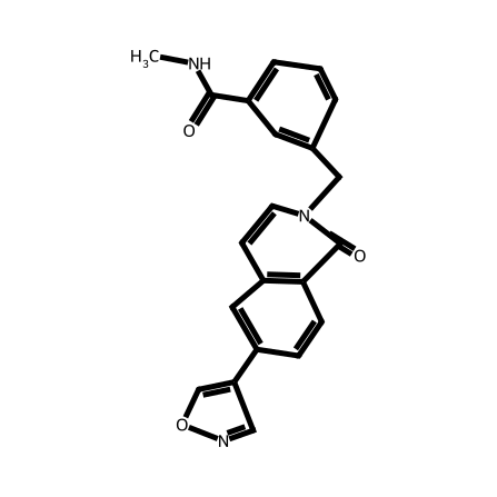 CNC(=O)c1cccc(Cn2ccc3cc(-c4cnoc4)ccc3c2=O)c1